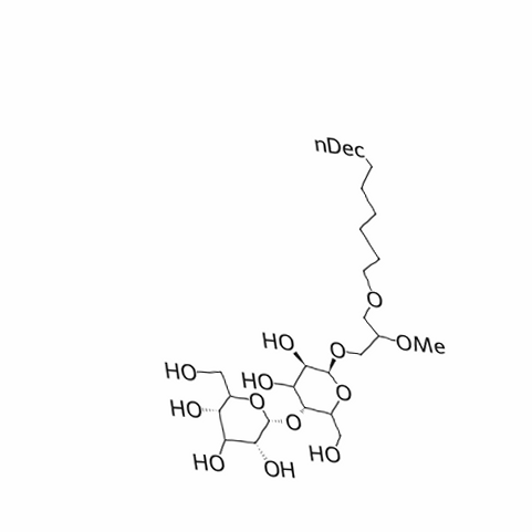 CCCCCCCCCCCCCCCCOCC(CO[C@H]1OC(CO)[C@H](O[C@H]2OC(CO)[C@@H](O)C(O)[C@H]2O)C(O)[C@H]1O)OC